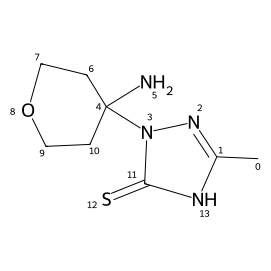 Cc1nn(C2(N)CCOCC2)c(=S)[nH]1